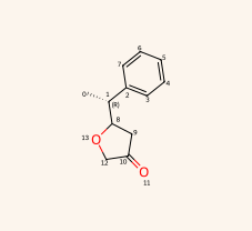 C[C@H](c1ccccc1)C1CC(=O)CO1